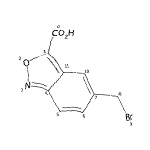 O=C(O)c1onc2ccc(CBr)cc12